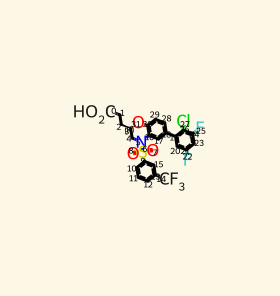 O=C(O)CC[C@@H]1CN(S(=O)(=O)c2cccc(C(F)(F)F)c2)c2cc(-c3cc(F)cc(F)c3Cl)ccc2O1